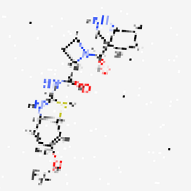 NCC1(C(=O)N2CC[C@H]2C(=O)Nc2nc3ccc(OC(F)(F)F)cc3s2)CCCC1